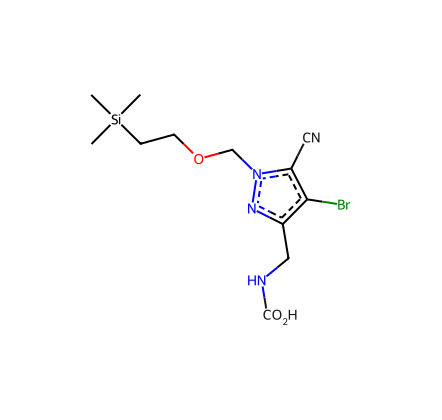 C[Si](C)(C)CCOCn1nc(CNC(=O)O)c(Br)c1C#N